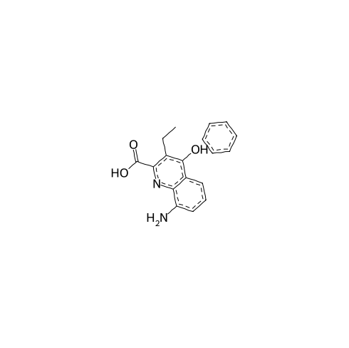 CCc1c(C(=O)O)nc2c(N)cccc2c1O.c1ccccc1